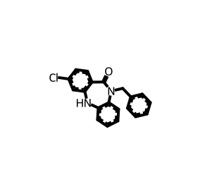 O=C1c2ccc(Cl)cc2Nc2ccccc2N1Cc1ccccc1